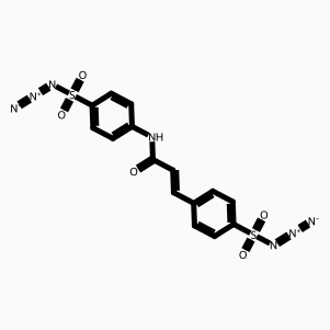 [N-]=[N+]=NS(=O)(=O)c1ccc(C=CC(=O)Nc2ccc(S(=O)(=O)N=[N+]=[N-])cc2)cc1